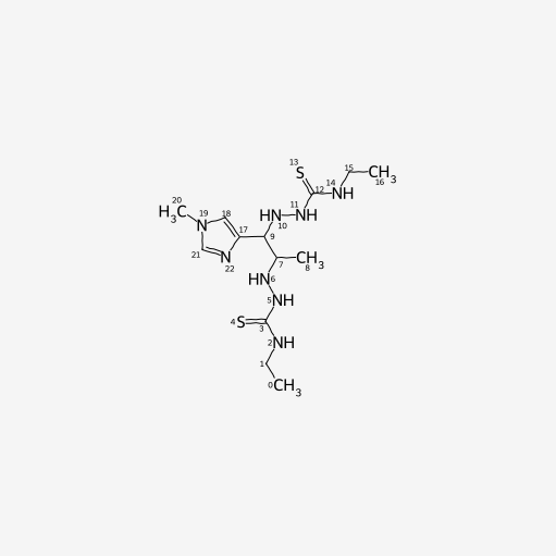 CCNC(=S)NNC(C)C(NNC(=S)NCC)c1cn(C)cn1